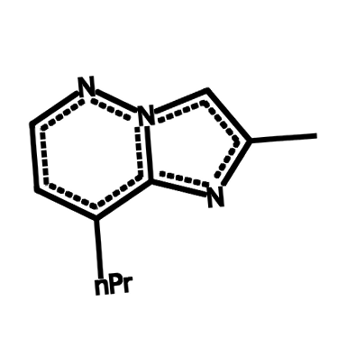 CCCc1ccnn2cc(C)nc12